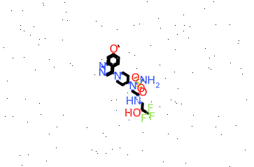 COc1ccc2c(N3CCC(N(CC(=O)NCC(O)C(F)(F)F)S(N)(=O)=O)CC3)cnnc2c1